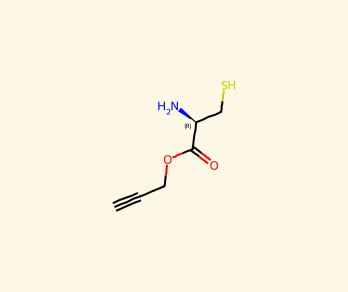 C#CCOC(=O)[C@@H](N)CS